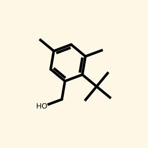 Cc1cc(C)c(C(C)(C)C)c(CO)c1